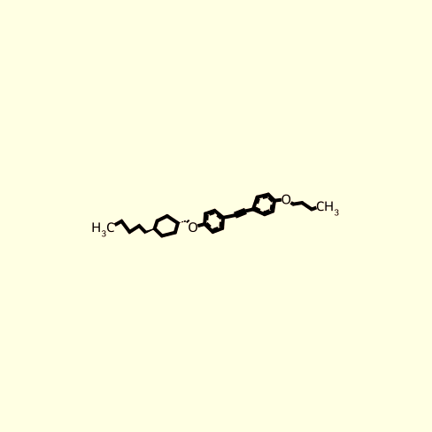 CCCCC[C@H]1CC[C@H](COc2ccc(C#Cc3ccc(OCCCC)cc3)cc2)CC1